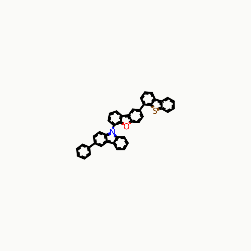 c1ccc(-c2ccc3c(c2)c2ccccc2n3-c2cccc3c2oc2ccc(-c4cccc5c4sc4ccccc45)cc23)cc1